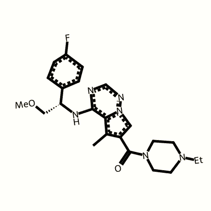 CCN1CCN(C(=O)c2cn3ncnc(N[C@H](COC)c4ccc(F)cc4)c3c2C)CC1